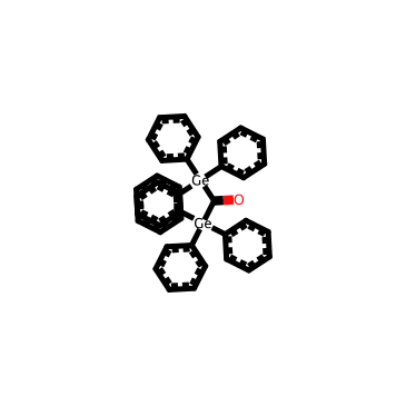 O=[C]([Ge]([c]1ccccc1)([c]1ccccc1)[c]1ccccc1)[Ge]([c]1ccccc1)([c]1ccccc1)[c]1ccccc1